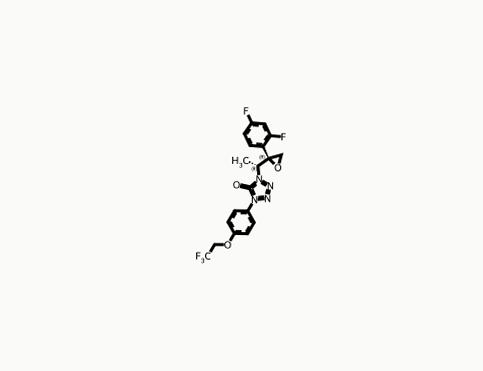 C[C@@H](n1nnn(-c2ccc(OCC(F)(F)F)cc2)c1=O)[C@]1(c2ccc(F)cc2F)CO1